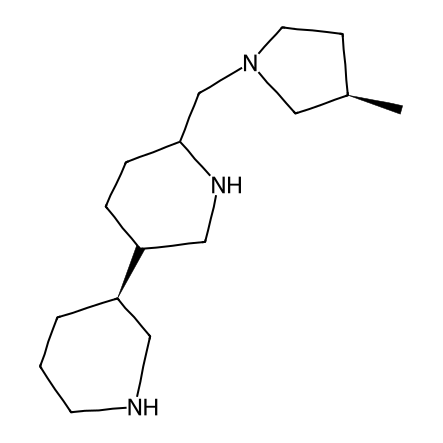 C[C@@H]1CCN(CC2CCC([C@@H]3CCCNC3)CN2)C1